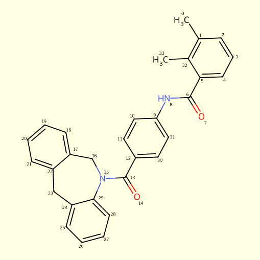 Cc1cccc(C(=O)Nc2ccc(C(=O)N3Cc4ccccc4Cc4ccccc43)cc2)c1C